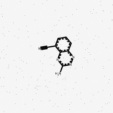 N#Cc1cccc2nnc(N)nc12